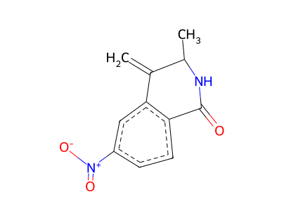 C=C1c2cc([N+](=O)[O-])ccc2C(=O)NC1C